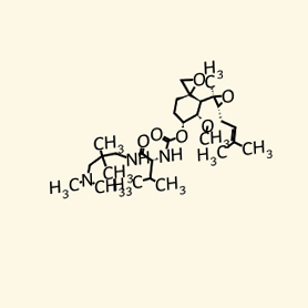 CO[C@@H]1[C@H](OC(=O)N[C@@H](C(=O)NCC(C)(C)CN(C)C)C(C)C)CC[C@]2(CO2)[C@H]1[C@@]1(C)O[C@@H]1CC=C(C)C